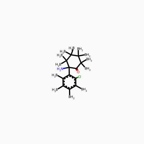 Bc1c(B)c(B)c(C2(N)C(=O)C(B)(B)C(B)(B)C(B)(B)C2(B)B)c(Cl)c1B